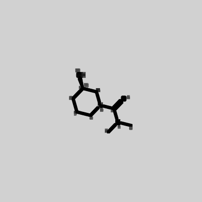 CN(C)C(=O)N1C[CH]C[C@@H](O)C1